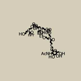 CCCC(=O)N(CCO)CCOP(=O)(O)OCCN(CCOP(=O)(O)OCCN(CCOCC)C(=O)CCSCOC1OC(CO)C(O)C(O)C1NC(C)=O)C(=O)CC(C)CC